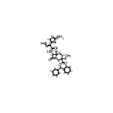 COCC1(C(=O)OC(c2ccccc2)c2ccccc2)CS[C@@H]2C(NC(=O)C(=NOC)c3csc(N)n3)C(=O)N2C1